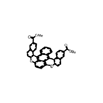 COC(=O)c1ccc2c3c(ccc2c1)Oc1ccc2c4c(c5ccccc5c-3c14)-c1c(ccc3cc(C(=O)OC)ccc13)O2